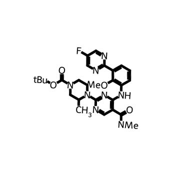 CNC(=O)c1cnc(N2CCN(C(=O)OC(C)(C)C)CC2C)nc1Nc1cccc(-c2ncc(F)cn2)c1OC